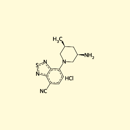 C[C@H]1C[C@@H](N)CN(c2ccc(C#N)c3nsnc23)C1.Cl